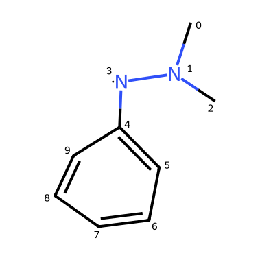 CN(C)[N]c1ccccc1